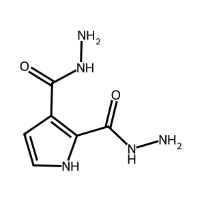 NNC(=O)c1cc[nH]c1C(=O)NN